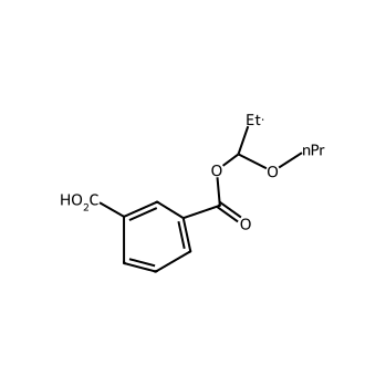 C[CH]C(OCCC)OC(=O)c1cccc(C(=O)O)c1